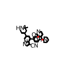 CC1(C)CC(c2cc(-c3ccc(N4CC5CC(C4)N5Cc4ccnc5c4OCO5)nc3)c3c(C#N)cnn3c2)=CCN1